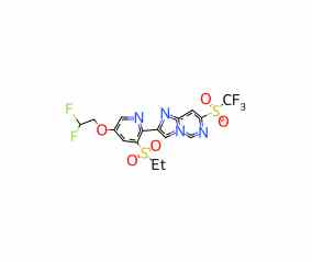 CCS(=O)(=O)c1cc(OCC(F)F)cnc1-c1cn2cnc(S(=O)(=O)C(F)(F)F)cc2n1